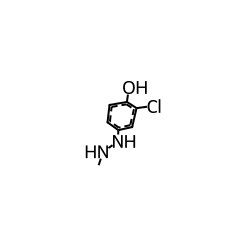 CNNc1ccc(O)c(Cl)c1